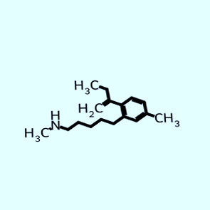 C=C(CC)c1ccc(C)cc1CCCCCNC